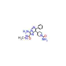 CCNC(=O)c1nc2c(C3=CCN(C(N)=O)CC3)c(-c3ccccc3)ncn2c1N